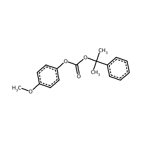 COc1ccc(OC(=O)OC(C)(C)c2ccccc2)cc1